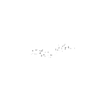 CCCCOc1ccc(S(=O)(=O)NCCCN2CCC(Cc3ccc(OC)c(OC)c3)CC2)cc1